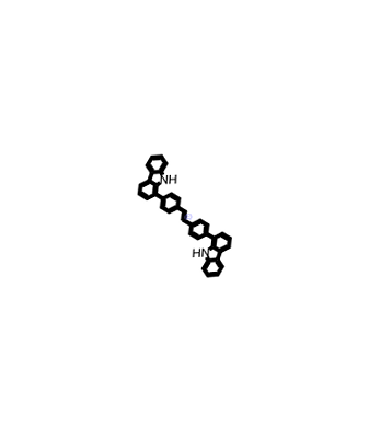 C(=C\c1ccc(-c2cccc3c2[nH]c2ccccc23)cc1)/c1ccc(-c2cccc3c2[nH]c2ccccc23)cc1